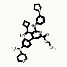 CCOC(=O)c1cc(-c2ccc(N(C)C3CCOCC3)cc2)c(C(=N)C2CCC2)c(Nc2cccc(N3CCCC3)c2)n1